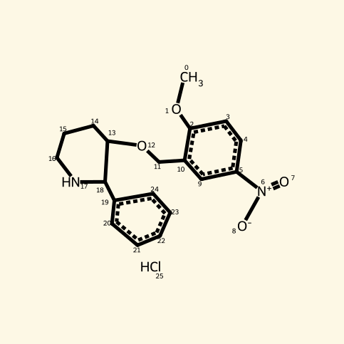 COc1ccc([N+](=O)[O-])cc1COC1CCCNC1c1ccccc1.Cl